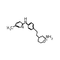 Cc1ccc(Nc2ccc(CCC3CCO[C@H](N)C3)cc2)nc1